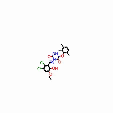 CCOc1cc(Cl)c(Cl)c(/C=N/N(C(N)=O)C(=O)COc2c(C)ccc(C)c2C)c1O